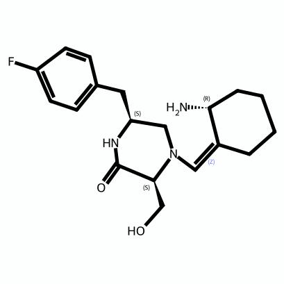 N[C@@H]1CCCC/C1=C/N1C[C@H](Cc2ccc(F)cc2)NC(=O)[C@@H]1CO